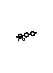 CC1CCC(C2CCC(C34CCC(C)(CC3)C(F)C4Cl)CC2)CC1